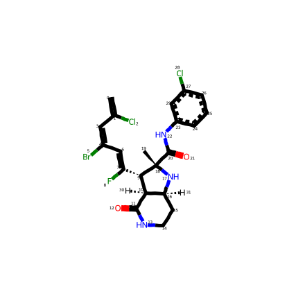 C=C(Cl)/C=C(Br)\C=C(/F)[C@H]1[C@@H]2C(=O)NCC[C@@H]2N[C@@]1(C)C(=O)Nc1cccc(Cl)c1